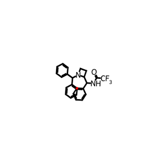 O=C(NC(c1ccccc1)C1CCN1C(c1ccccc1)c1ccccc1)C(F)(F)F